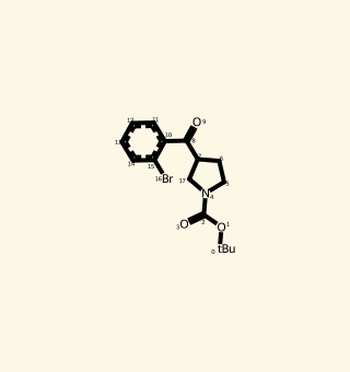 CC(C)(C)OC(=O)N1CCC(C(=O)c2ccccc2Br)C1